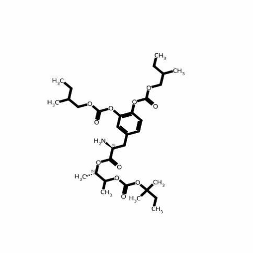 CCC(C)COC(=O)Oc1ccc(C[C@H](N)C(=O)O[C@@H](C)C(C)OC(=O)OC(C)(C)CC)cc1OC(=O)OCC(C)CC